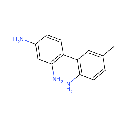 Cc1ccc(N)c(-c2ccc(N)cc2N)c1